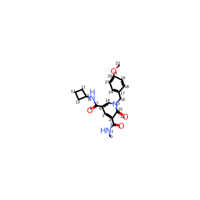 CNC(=O)c1cc(C(=O)NC2CCC2)cn(Cc2ccc(OC)cc2)c1=O